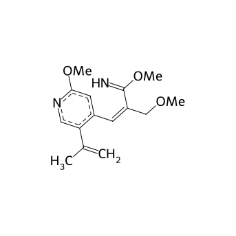 C=C(C)c1cnc(OC)cc1/C=C(/COC)C(=N)OC